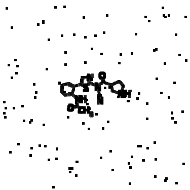 CC(=O)Nc1ccccc1-c1cnc(N(C#N)C(=O)C2CCNC2)s1